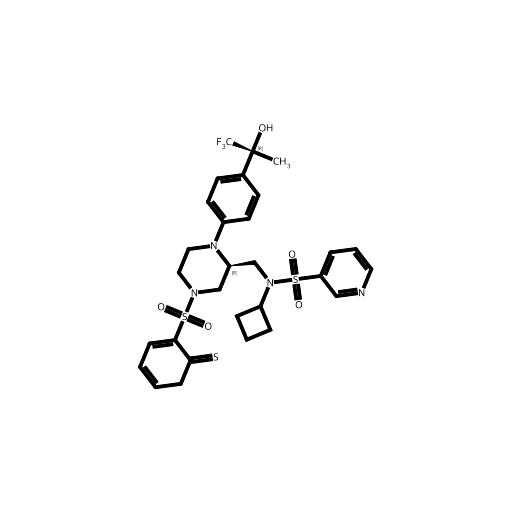 C[C@@](O)(c1ccc(N2CCN(S(=O)(=O)C3=CC=CCC3=S)C[C@@H]2CN(C2CCC2)S(=O)(=O)c2cccnc2)cc1)C(F)(F)F